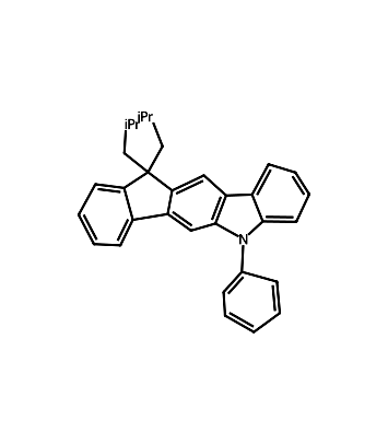 CC(C)CC1(CC(C)C)c2ccccc2-c2cc3c(cc21)c1ccccc1n3-c1ccccc1